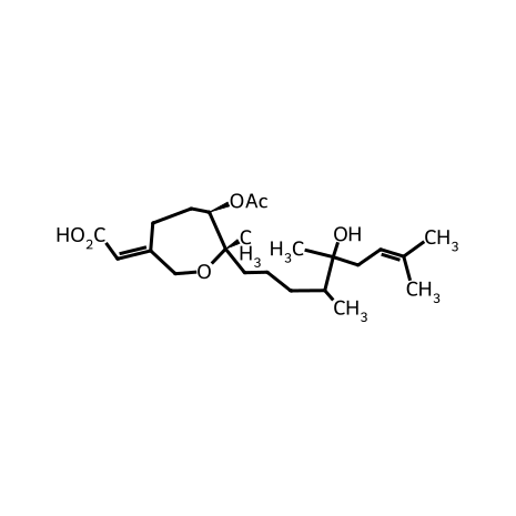 CC(=O)O[C@@H]1CCC(=CC(=O)O)CO[C@@]1(C)CCCC(C)C(C)(O)CC=C(C)C